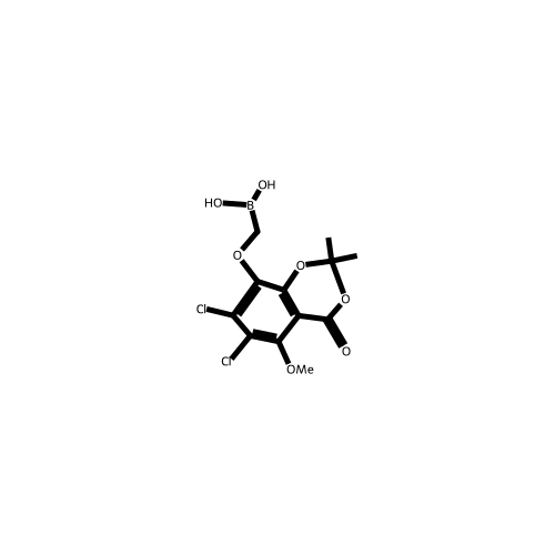 COc1c(Cl)c(Cl)c(OCB(O)O)c2c1C(=O)OC(C)(C)O2